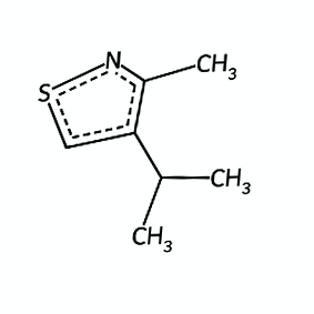 Cc1nscc1C(C)C